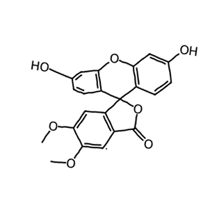 COc1[c]c2c(cc1OC)C1(OC2=O)c2ccc(O)cc2Oc2cc(O)ccc21